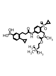 CN(Cc1cc(NC(=O)CCc2cc(B(O)O)ccc2C2CC2)ccc1S(=O)(=O)C1CC1)C(=O)OCC[Si](C)(C)C